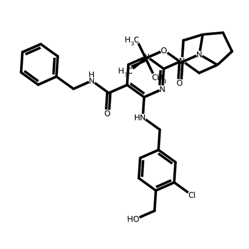 CC(C)(C)OC(=O)N1C2CCC1CN(c1ncc(C(=O)NCc3ccccc3)c(NCc3ccc(CO)c(Cl)c3)n1)C2